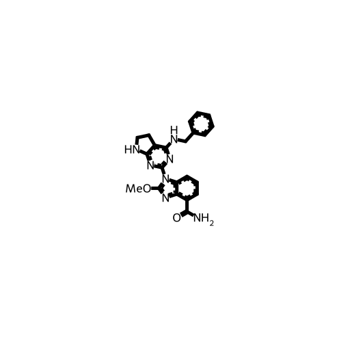 COc1nc2c(C(N)=O)cccc2n1-c1nc2c(c(NCc3ccccc3)n1)CCN2